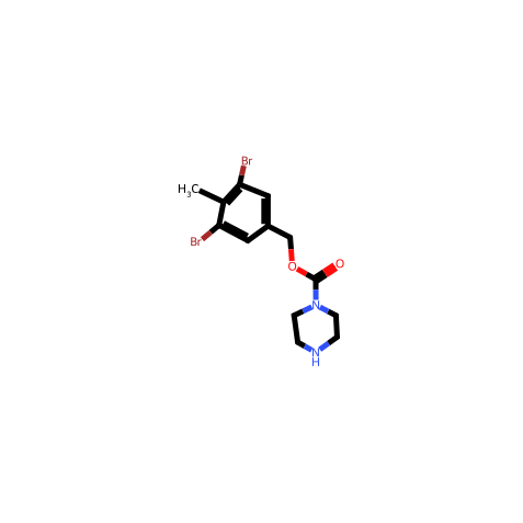 Cc1c(Br)cc(COC(=O)N2CCNCC2)cc1Br